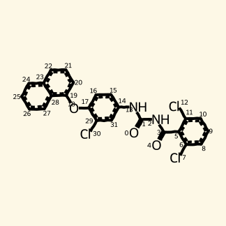 O=C(NC(=O)c1c(Cl)cccc1Cl)Nc1ccc(Oc2cccc3ccccc23)c(Cl)c1